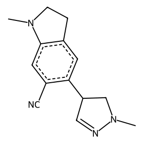 CN1CC(c2cc3c(cc2C#N)N(C)CC3)C=N1